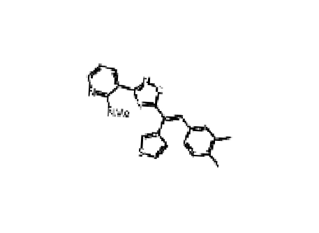 CNc1ncccc1-c1noc(/C(=C/c2ccc(C)c(C)c2)c2ccsc2)n1